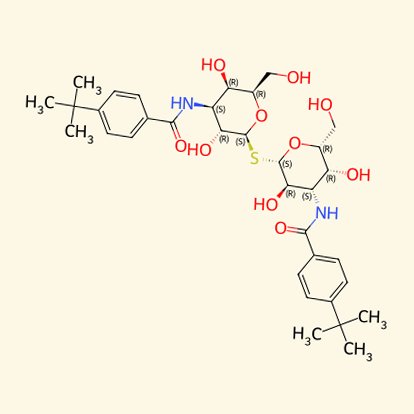 CC(C)(C)c1ccc(C(=O)N[C@H]2[C@@H](O)[C@@H](CO)O[C@@H](S[C@@H]3O[C@H](CO)[C@H](O)[C@H](NC(=O)c4ccc(C(C)(C)C)cc4)[C@H]3O)[C@@H]2O)cc1